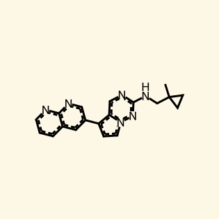 CC1(CNc2ncc3c(-c4cnc5ncccc5c4)ccn3n2)CC1